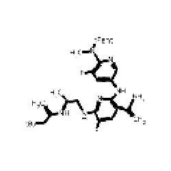 C=C(CC(C)(C)C)N[C@@H](C)CNc1nc(Nc2cnc(N(C)CCCCC)c(F)c2)c(C(=C)N)cc1F